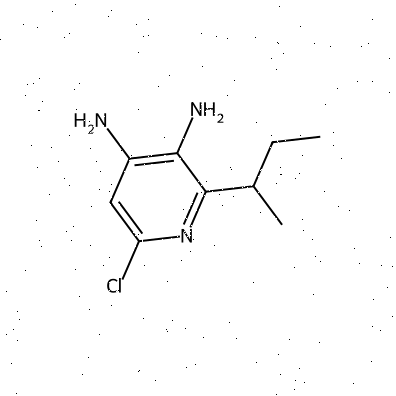 CCC(C)c1nc(Cl)cc(N)c1N